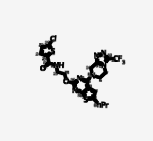 CCCc1cc2c(N3CCn4c(nnc4C(F)(F)F)C3)nc(OCCNC(=O)c3ccc(Cl)s3)nc2s1